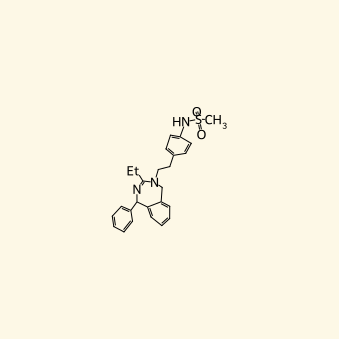 CCC1=NC(c2ccccc2)c2ccccc2CN1CCc1ccc(NS(C)(=O)=O)cc1